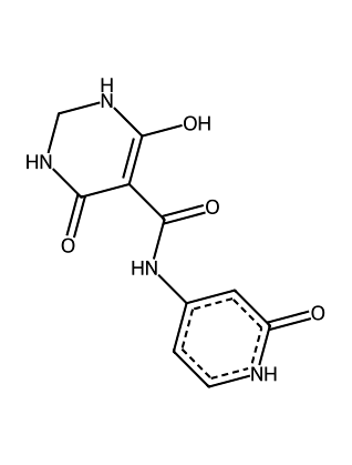 O=C1NCNC(O)=C1C(=O)Nc1cc[nH]c(=O)c1